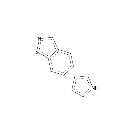 c1cc[nH]c1.c1ccc2sncc2c1